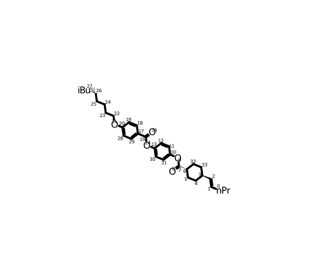 CCCC=C[C@H]1CC[C@H](C(=O)Oc2ccc(OC(=O)c3ccc(OCCCCC[C@@H](C)CC)cc3)cc2)CC1